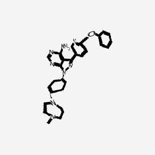 CN1CCN([C@H]2CC[C@H](n3nc(-c4ccc(Oc5ccccc5)nc4)c4c(N)ncnc43)CC2)CC1